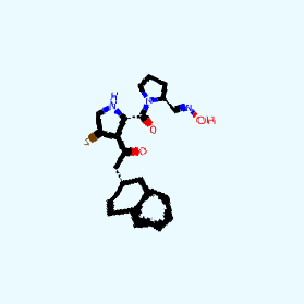 O=C(C[C@H]1CCc2ccccc2C1)C1C(=S)CN[C@@H]1C(=O)N1CCC[C@H]1C=NO